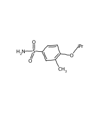 Cc1cc(S(N)(=O)=O)ccc1OC(C)C